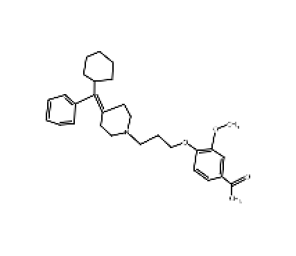 COc1cc(C(C)=O)ccc1OCCCN1CCC(=C(c2ccccc2)C2CCCCC2)CC1